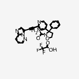 NC(=O)N1OCCC1(c1ccccc1)c1ccnc(C#Cc2cnc3cccnn23)c1.O=C(O)C(F)(F)F